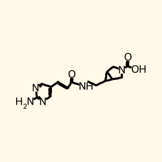 Nc1ncc(/C=C/C(=O)NCCC2C3CN(C(=O)O)CC23)cn1